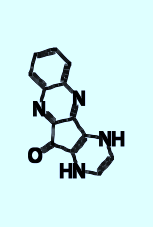 O=c1c2[nH]cc[nH]c=2c2nc3ccccc3nc12